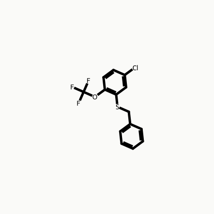 FC(F)(F)Oc1ccc(Cl)cc1SCc1ccccc1